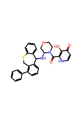 O=C(c1[nH]ccc(=O)c1O)N1CCOC[C@@H]1NC1c2ccccc2SCc2c(-c3ccccc3)cccc21